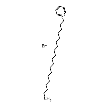 CCCCCCCCCCCCCCCCCCC[n+]1ccccc1.[Br-]